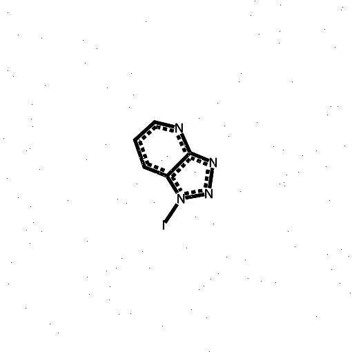 In1nnc2ncccc21